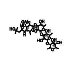 COC1[C@H](O[C@@H]2C(O)[C@H](O[C@@H]3[C@H](O)C(OC4C(C)OC(C)[C@H](O)[C@@H]4O)OC(C)[C@@H]3O)OC(C)[C@@H]2O)OC(C)[C@@H](NC(=O)CC(C)(C)O)[C@@H]1O